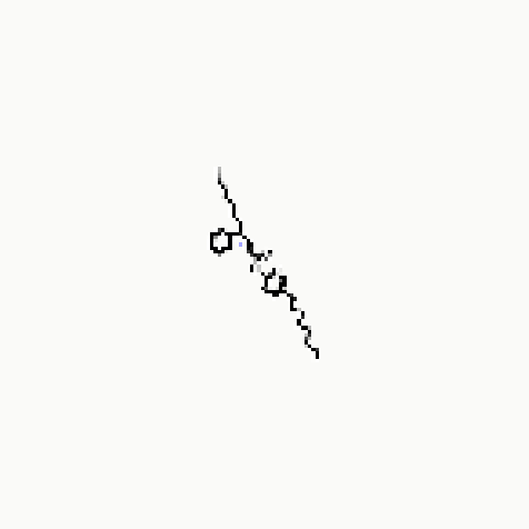 CCCCCCCCc1ccc(OC(=O)/C=C/C(CCCCCCC)c2ccccc2)nc1